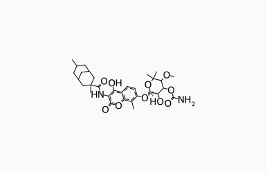 COC1C(OC(N)=O)C(O)[C@H](Oc2ccc3c(O)c(NC(=O)C4(C)CC5CC(C)CC(C5)C4)c(=O)oc3c2C)OC1(C)C